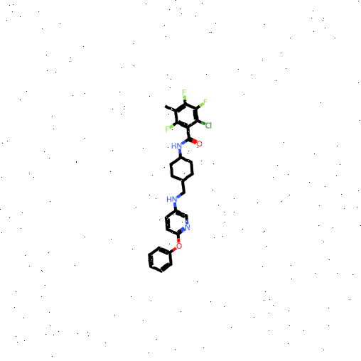 Cc1c(F)c(F)c(Cl)c(C(=O)NC2CCC(CNc3ccc(Oc4ccccc4)nc3)CC2)c1F